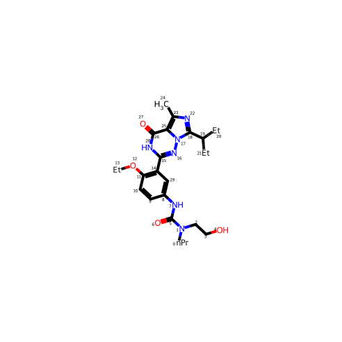 CCCN(CCO)C(=O)Nc1ccc(OCC)c(-c2nn3c(C(CC)CC)nc(C)c3c(=O)[nH]2)c1